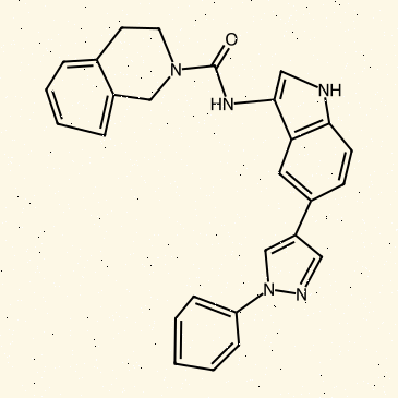 O=C(Nc1c[nH]c2ccc(-c3cnn(-c4ccccc4)c3)cc12)N1CCc2ccccc2C1